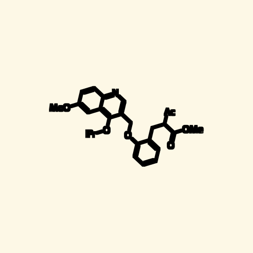 COC(=O)C(Cc1ccccc1OCc1cnc2ccc(OC)cc2c1OC(C)C)C(C)=O